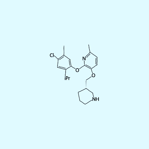 Cc1ccc(OC[C@H]2CCCNC2)c(Oc2cc(C)c(Cl)cc2C(C)C)n1